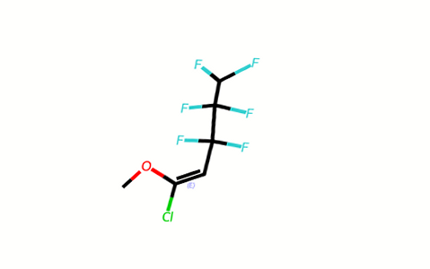 CO/C(Cl)=C\C(F)(F)C(F)(F)C(F)F